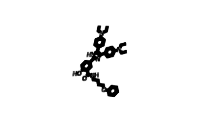 CCN(CC)c1ccc(-c2nc(-c3ccc(O)c(C(=O)NCCCCOc4ccccc4)c3)[nH]c2-c2ccc(N(CC)CC)cc2)cc1